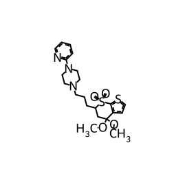 COC1(OC)CC(CCCN2CCN(c3ccccn3)CC2)S(=O)(=O)c2sccc21